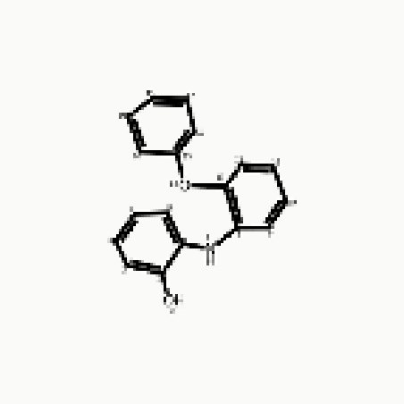 Oc1ccccc1Nc1[c]cccc1Oc1ccccc1